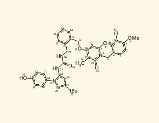 COc1ccc(Cn2c(C)cc(OCc3ccccc3CNC(=O)Nc3cc(C(C)(C)C)nn3-c3ccc(O)cc3)c(C)c2=O)cc1Cl